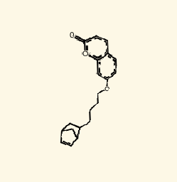 O=c1ccc2ccc(OCCCCC3CC4C=CC3C4)cc2o1